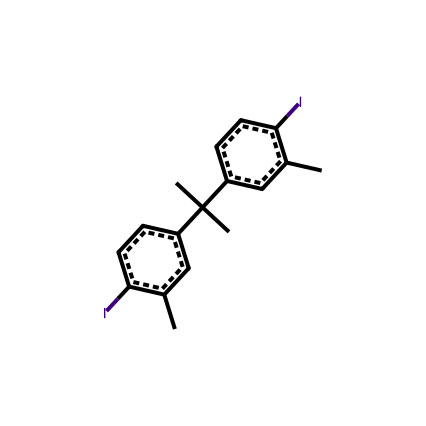 Cc1cc(C(C)(C)c2ccc(I)c(C)c2)ccc1I